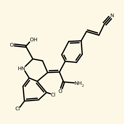 N#C/C=C/c1ccc(/C(C(N)=O)=C2\CC(C(=O)O)Nc3cc(Cl)cc(Cl)c32)cc1